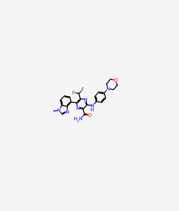 Cn1cnc2c(-c3nc(C(N)=O)c(Nc4ccc(N5CCOCC5)cc4)nc3C(F)F)cccc21